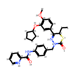 CCC1SC(=O)N(Cc2ccc(NC(=O)c3ccccn3)cc2)N=C1c1ccc(OC)c(OC2CCCC2)c1